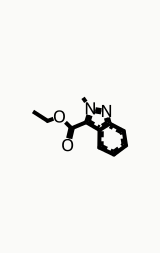 CCOC(=O)c1c2ccccc2nn1C